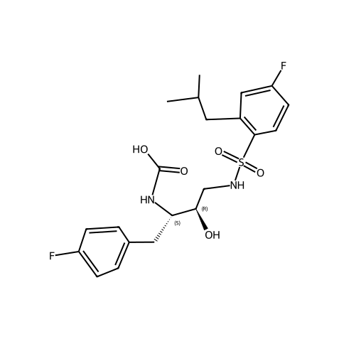 CC(C)Cc1cc(F)ccc1S(=O)(=O)NC[C@@H](O)[C@H](Cc1ccc(F)cc1)NC(=O)O